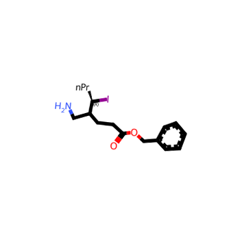 CCC[C@@H](I)C(CN)CCC(=O)OCc1ccccc1